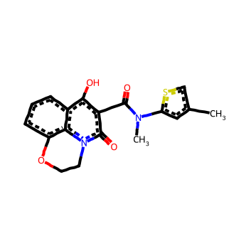 Cc1csc(N(C)C(=O)c2c(O)c3cccc4c3n(c2=O)CCO4)c1